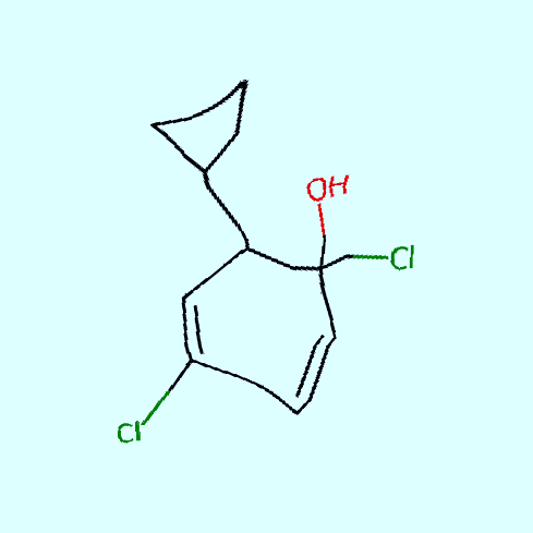 OC1(Cl)C=CC(Cl)=CC1C1CC1